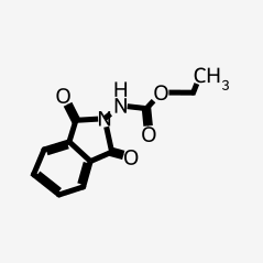 CCOC(=O)NN1C(=O)c2ccccc2C1=O